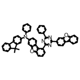 CC1(C)c2ccccc2-c2ccc(N(c3ccccc3)c3ccc4c(c3)oc3cccc(-c5nc(-c6ccccc6)nc(-c6ccc7c(c6)oc6ccccc67)n5)c34)cc21